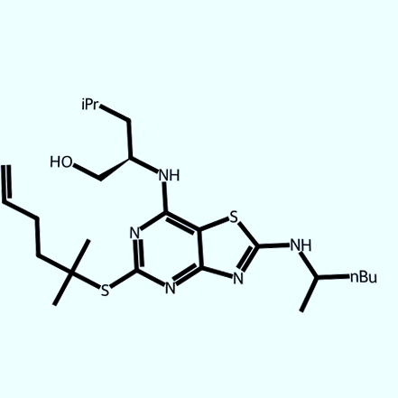 C=CCCC(C)(C)Sc1nc(N[C@@H](CO)CC(C)C)c2sc(NC(C)CCCC)nc2n1